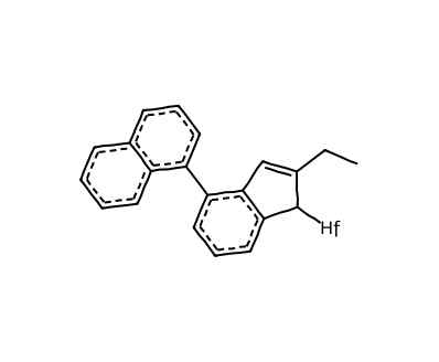 CCC1=Cc2c(-c3cccc4ccccc34)cccc2[CH]1[Hf]